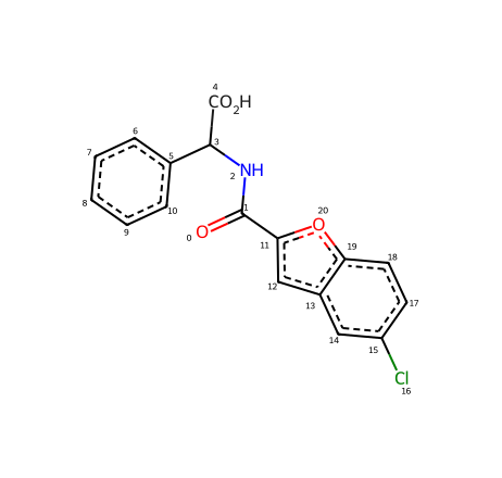 O=C(NC(C(=O)O)c1ccccc1)c1cc2cc(Cl)ccc2o1